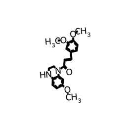 COc1ccc2c(c1)N(C(=O)C=Cc1ccc(OC)c(OC)c1)CCN2